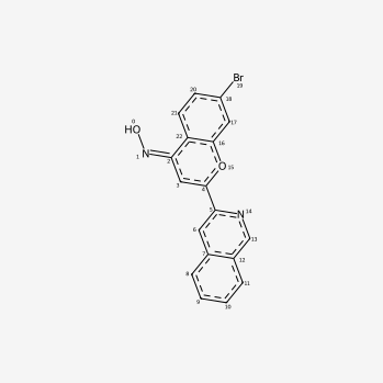 O/N=c1/cc(-c2cc3ccccc3cn2)oc2cc(Br)ccc12